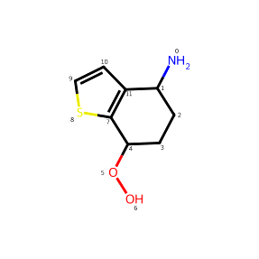 NC1CCC(OO)c2sccc21